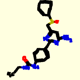 CCNC(=O)Nc1ccc(-c2nc(N)cc(C[S+]([O-])c3ccccc3)n2)cc1